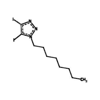 CCCCCCCCn1nnc(I)c1I